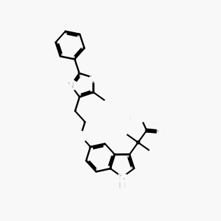 Cc1sc(-c2ccccc2)nc1CCOc1ccc2[nH]cc(C(C)(C)C(=O)O)c2c1